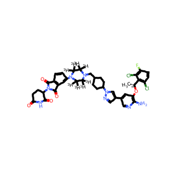 [2H]C1([2H])N(CC2CCC(n3cc(-c4cnc(N)c(O[C@H](C)c5c(Cl)ccc(F)c5Cl)c4)cn3)CC2)C([2H])([2H])C([2H])([2H])N(c2ccc3c(c2)C(=O)N(C2CCC(=O)NC2=O)C3=O)C1([2H])[2H]